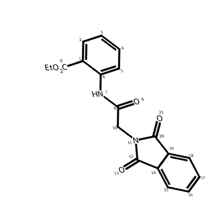 CCOC(=O)c1ccccc1NC(=O)CN1C(=O)c2ccccc2C1=O